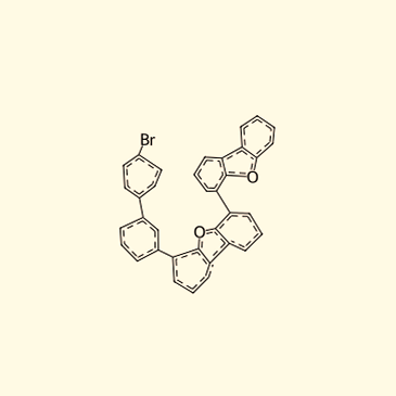 Brc1ccc(-c2cccc(-c3cccc4c3oc3c(-c5cccc6c5oc5ccccc56)cccc34)c2)cc1